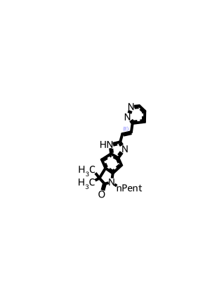 CCCCCN1C(=O)C(C)(C)c2cc3[nH]c(/C=C/c4cccnn4)nc3cc21